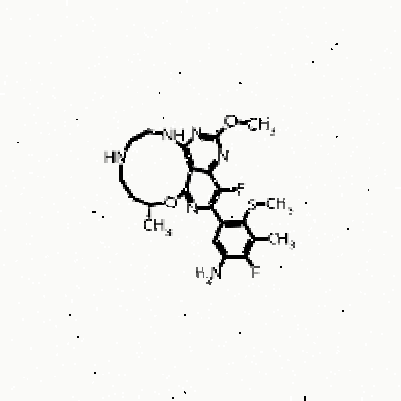 COc1nc2c3c(nc(-c4cc(N)c(F)c(C)c4SC)c(F)c3n1)O[C@@H](C)CCNCCN2